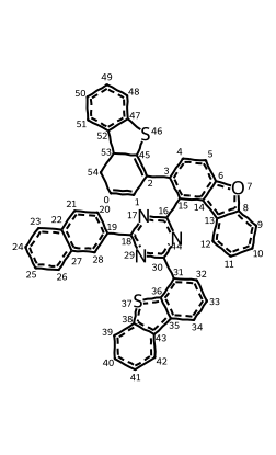 C1=CC(c2ccc3oc4ccccc4c3c2-c2nc(-c3ccc4ccccc4c3)nc(-c3cccc4c3sc3ccccc34)n2)=C2Sc3ccccc3C2C1